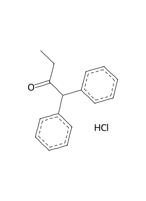 CCC(=O)C(c1ccccc1)c1ccccc1.Cl